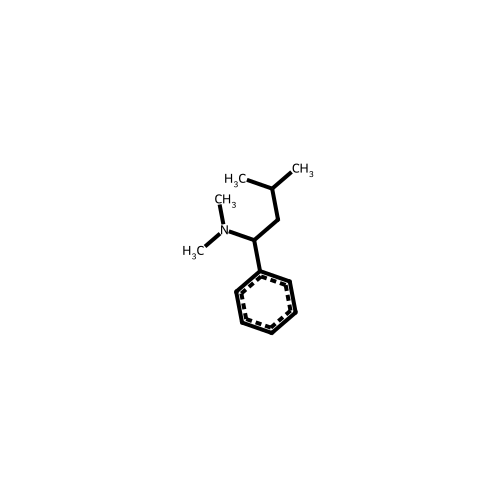 CC(C)CC(c1ccccc1)N(C)C